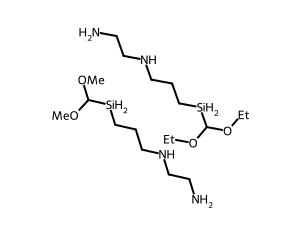 CCOC(OCC)[SiH2]CCCNCCN.COC(OC)[SiH2]CCCNCCN